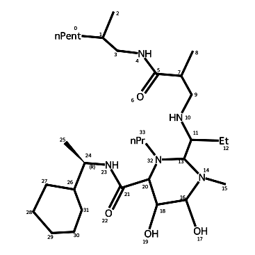 CCCCCC(C)CNC(=O)C(C)CNC(CC)C1N(C)C(O)C(O)C(C(=O)N[C@H](C)C2CCCCC2)N1CCC